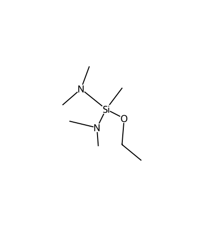 CCO[Si](C)(N(C)C)N(C)C